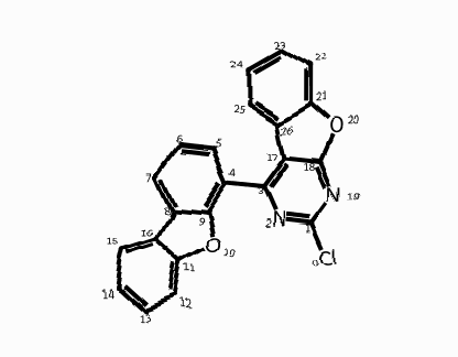 Clc1nc(-c2cccc3c2oc2ccccc23)c2c(n1)oc1ccccc12